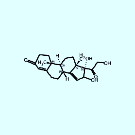 C[C@]12CCC(=O)C=C1CC[C@H]1C3=CC(O)[C@](O)(C(=O)CO)[C@@]3(C)CC[C@@H]12